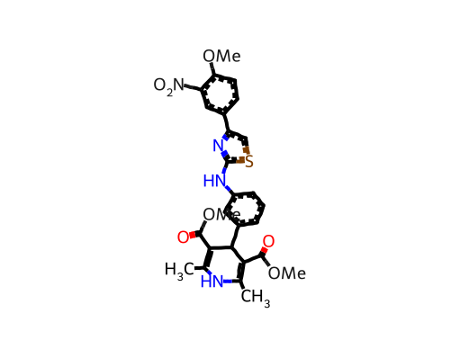 COC(=O)C1=C(C)NC(C)=C(C(=O)OC)C1c1cccc(Nc2nc(-c3ccc(OC)c([N+](=O)[O-])c3)cs2)c1